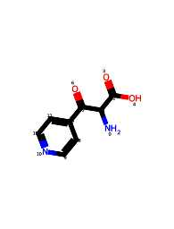 NC(C(=O)O)C(=O)c1ccncc1